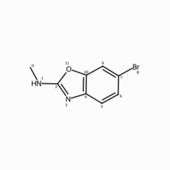 CNc1nc2ccc(Br)cc2o1